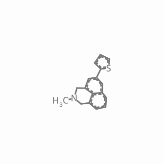 CN1Cc2cccc3cc(-c4cccs4)cc(c23)C1